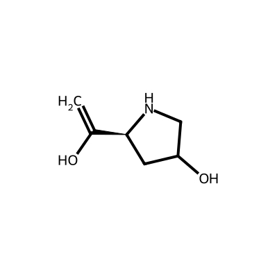 C=C(O)[C@@H]1CC(O)CN1